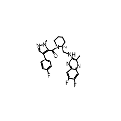 Cc1nc2cc(F)c(F)cc2nc1NC[C@@H]1CCCCN1C(=O)c1c(-c2ccc(F)cc2)cnn1C